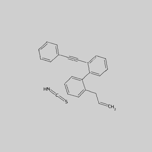 C=CCc1ccccc1-c1ccccc1C#Cc1ccccc1.N=C=S